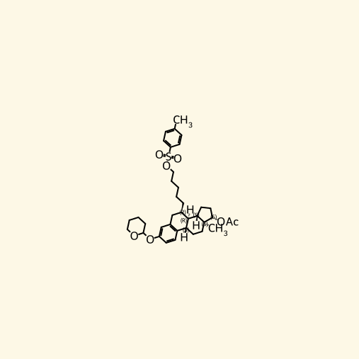 CC(=O)O[C@H]1CC[C@H]2[C@@H]3[C@H](CCCCCOS(=O)(=O)c4ccc(C)cc4)Cc4cc(OC5CCCCO5)ccc4[C@H]3CC[C@]12C